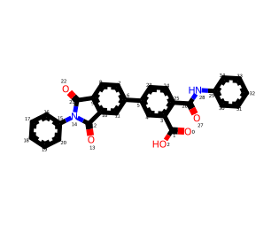 O=C(O)c1cc(-c2ccc3c(c2)C(=O)N(c2ccccc2)C3=O)ccc1C(=O)Nc1ccccc1